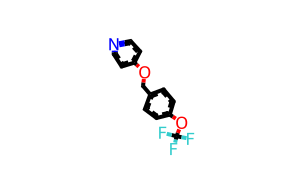 FC(F)(F)Oc1ccc(COc2ccncc2)cc1